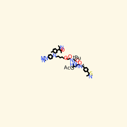 CC(=O)OC1CC(C(=O)N[C@@H](C)c2ccc(-c3scnc3C)cc2)N(C(=O)C(NC(=O)COCCCCCN(c2ccc(-n3cnnc3)cc2)c2cc(-c3c(C)noc3C)ccc2C)C(C)(C)C)C1